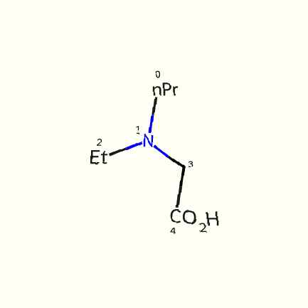 CCCN(CC)CC(=O)O